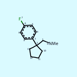 CNCC1(c2ccc(F)cc2)CCCC1